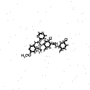 COc1ccc(CN(Sc2cc(Cl)c(NCc3cc(Cl)ccc3F)cc2F)c2ccncn2)c(OC)c1